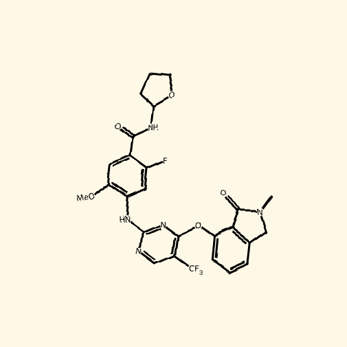 COc1cc(C(=O)NC2CCCO2)c(F)cc1Nc1ncc(C(F)(F)F)c(Oc2cccc3c2C(=O)N(C)C3)n1